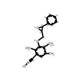 Cc1cc(C#[N+][O-])c(C)c(OCC2OC2c2ccccc2)c1C